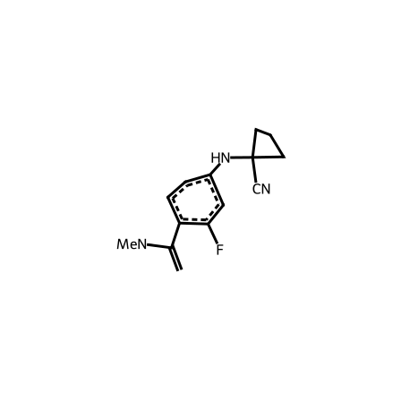 C=C(NC)c1ccc(NC2(C#N)CCC2)cc1F